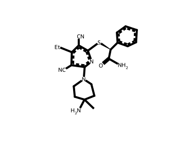 CCc1c(C#N)c(S[C@H](C(N)=O)c2ccccc2)nc(N2CCC(C)(N)CC2)c1C#N